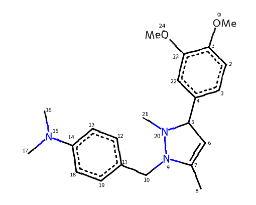 COc1ccc(C2C=C(C)N(Cc3ccc(N(C)C)cc3)N2C)cc1OC